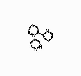 c1ccc(-c2ccccn2)nc1.c1ccnnc1